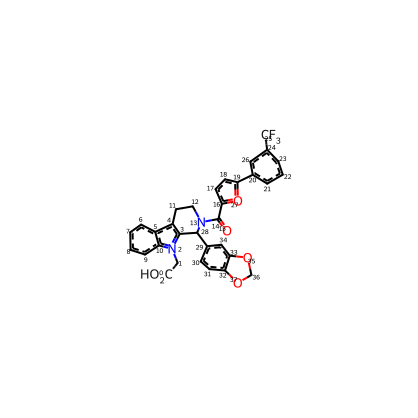 O=C(O)Cn1c2c(c3ccccc31)CCN(C(=O)c1ccc(-c3cccc(C(F)(F)F)c3)o1)C2c1ccc2c(c1)OCO2